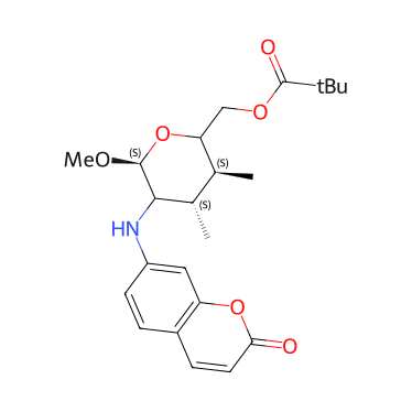 CO[C@H]1OC(COC(=O)C(C)(C)C)[C@@H](C)[C@H](C)C1Nc1ccc2ccc(=O)oc2c1